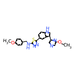 CCOc1cncc(-c2c[nH]c3ccc(-c4nnc(NCc5ccc(OC)cc5)s4)cc23)n1